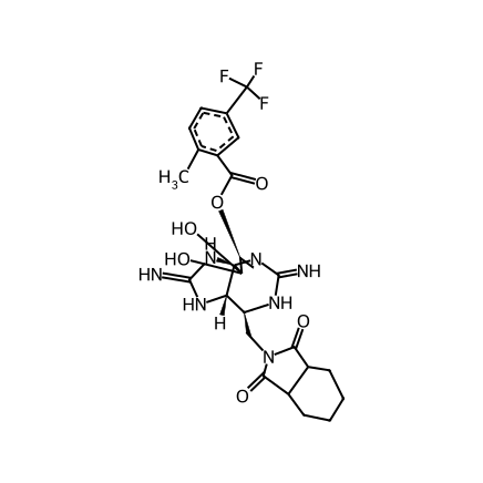 Cc1ccc(C(F)(F)F)cc1C(=O)O[C@H]1CN2C(=N)N[C@@H](CN3C(=O)C4CCCCC4C3=O)[C@@H]3NC(=N)N[C@@]32C1(O)O